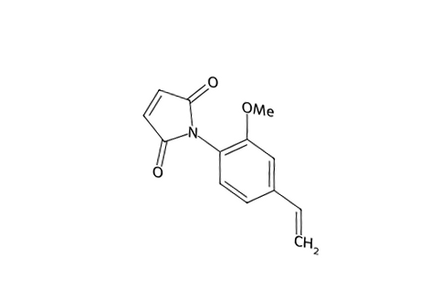 C=Cc1ccc(N2C(=O)C=CC2=O)c(OC)c1